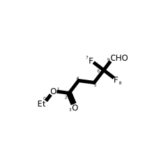 CCOC(=O)CCC(F)(F)C=O